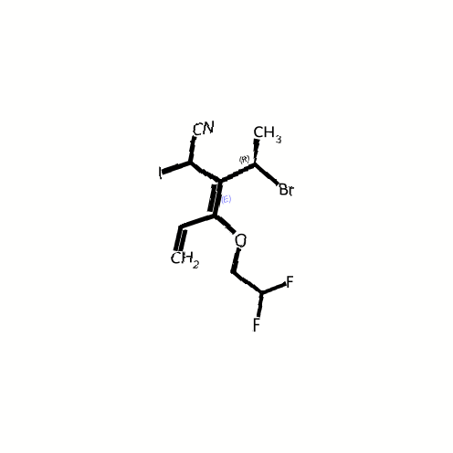 C=C/C(OCC(F)F)=C(\C(I)C#N)[C@@H](C)Br